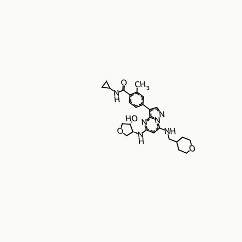 Cc1cc(-c2cnn3c(NCC4CCOCC4)cc(N[C@H]4COC[C@@H]4O)nc23)ccc1C(=O)NC1CC1